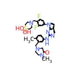 Cc1ccc(Nc2ncc3ccn(-c4cc(F)c(CN5CCS(O)(O)CC5)c(F)c4)c3n2)cc1CN1CCN(C)C(=O)C1